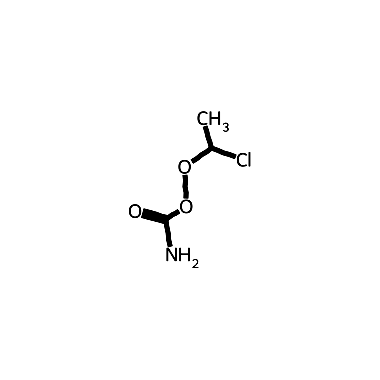 CC(Cl)OOC(N)=O